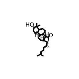 CC(C)=CCC[C@@H](C)[C@H]1CC(=O)[C@H]2[C@@H]3CC=C4C(C)(C)[C@H](O)CC[C@]4(C)[C@H]3CC[C@]12C